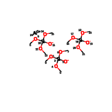 CO[Si]([O-])(OC)OC.CO[Si]([O-])(OC)OC.CO[Si]([O-])(OC)OC.[Al+3]